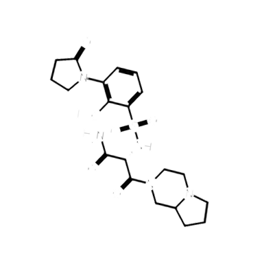 Cc1c(N2CCCC2=O)cccc1S(=O)(=O)N[C@@H](C(N)=O)C(=O)N1CCN2CCCC2C1